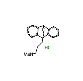 CNCCCC12CCC(c3ccccc31)c1ccccc12.Cl